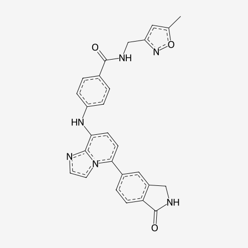 Cc1cc(CNC(=O)c2ccc(Nc3ccc(-c4ccc5c(c4)CNC5=O)n4ccnc34)cc2)no1